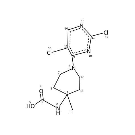 CC1(NC(=O)O)CCN(c2nc(Cl)ncc2Cl)CC1